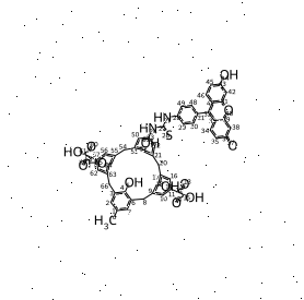 Cc1cc2c(O)c(c1)Cc1cc(S(=O)(=O)O)cc(c1O)Cc1cc(NC(=S)Nc3ccc(-c4c5ccc(=O)cc-5oc5cc(O)ccc45)cc3)cc(c1O)Cc1cc(S(=O)(=O)O)cc(c1O)C2